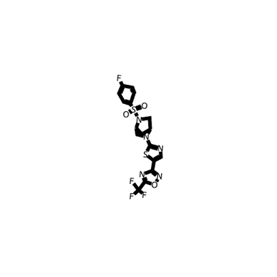 O=S(=O)(c1ccc(F)cc1)N1CC2CC1CN2c1ncc(-c2noc(C(F)(F)F)n2)s1